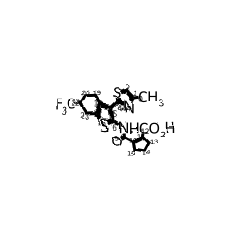 Cc1csc(-c2c(NC(=O)C3=C(C(=O)O)CCC3)sc3c2CC[C@@H](C(F)(F)F)C3)n1